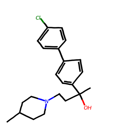 CC1CCN(CCC(C)(O)c2ccc(-c3ccc(Cl)cc3)cc2)CC1